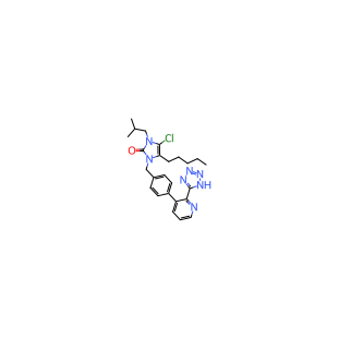 CCCCCc1c(Cl)n(CC(C)C)c(=O)n1Cc1ccc(-c2cccnc2-c2nnn[nH]2)cc1